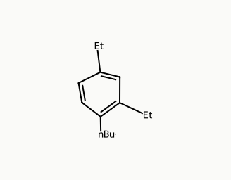 CCC[CH]c1ccc(CC)cc1CC